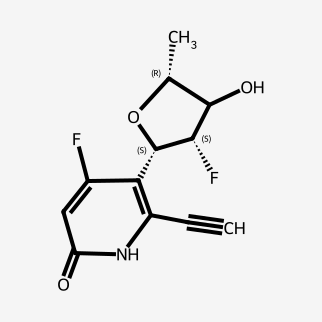 C#Cc1[nH]c(=O)cc(F)c1[C@@H]1O[C@H](C)C(O)[C@@H]1F